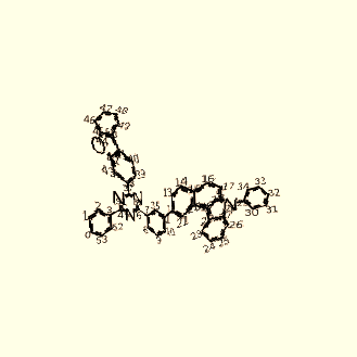 c1ccc(-c2nc(-c3cccc(-c4ccc5ccc6c(c5c4)c4ccccc4n6-c4ccccc4)c3)nc(-c3ccc4c(c3)oc3ccccc34)n2)cc1